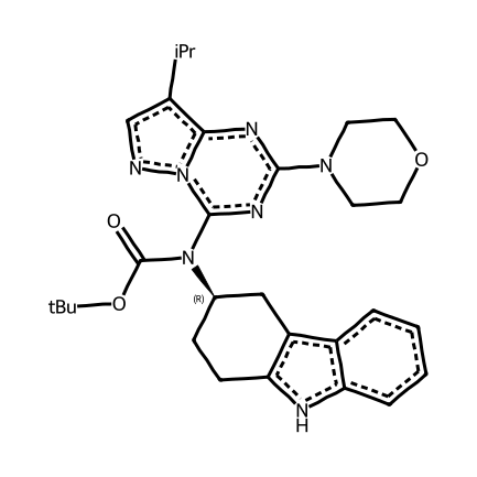 CC(C)c1cnn2c(N(C(=O)OC(C)(C)C)[C@@H]3CCc4[nH]c5ccccc5c4C3)nc(N3CCOCC3)nc12